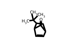 CC(C)(C)C1CC2C=CC1C2=O